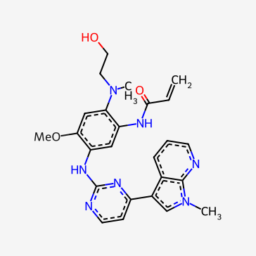 C=CC(=O)Nc1cc(Nc2nccc(-c3cn(C)c4ncccc34)n2)c(OC)cc1N(C)CCO